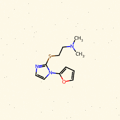 CN(C)CCSc1nccn1-c1ccco1